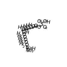 O.O.O.O.O.O.O.O.O.O.O=S(=O)(O)O.[LiH].[LiH].[Mn].[NaH]